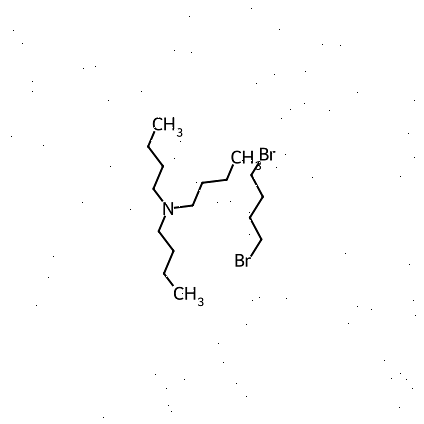 BrCCCCBr.CCCCN(CCCC)CCCC